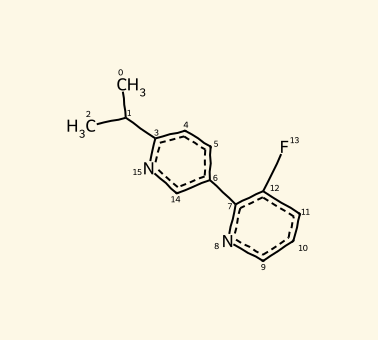 CC(C)c1ccc(-c2ncccc2F)cn1